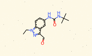 CCn1nc(C=O)c2cc(NC(=O)NC(C)(C)C)ccc21